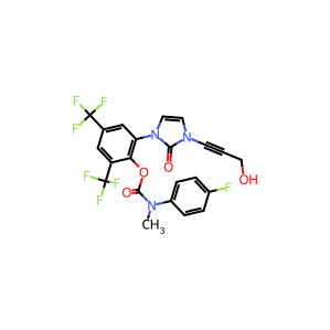 CN(C(=O)Oc1c(-n2ccn(C#CCO)c2=O)cc(C(F)(F)F)cc1C(F)(F)F)c1ccc(F)cc1